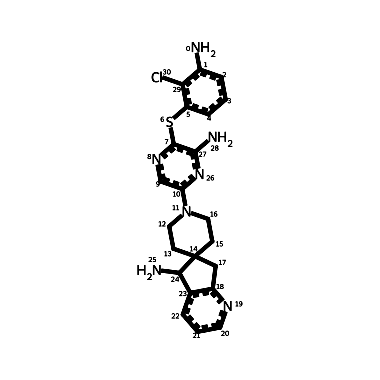 Nc1cccc(Sc2ncc(N3CCC4(CC3)Cc3ncccc3C4N)nc2N)c1Cl